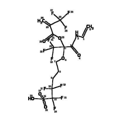 C=CNC(=O)C(OCCCC(F)(F)C(F)(F)S(=O)(=O)O)(OC(=O)C(=C)C(F)(F)F)C(F)(F)F